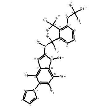 [2H]c1c(-n2cccc2)c([2H])c2nc([S+]([O-])C([2H])([2H])c3nccc(OC([2H])([2H])[2H])c3C([2H])([2H])[2H])n([2H])c2c1[2H]